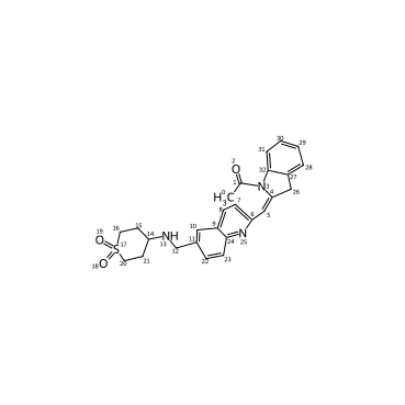 CC(=O)N1/C(=C\c2ccc3cc(CNC4CCS(=O)(=O)CC4)ccc3n2)Cc2ccccc21